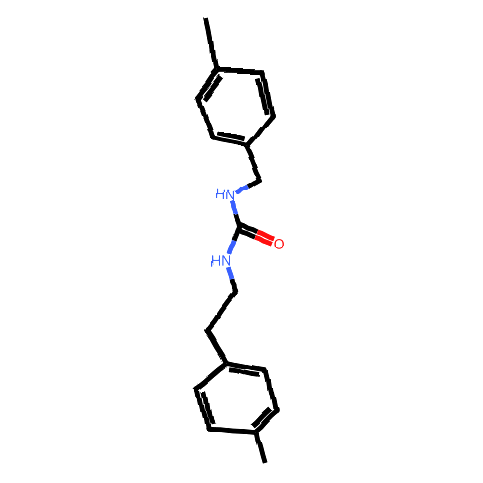 Cc1ccc(CCNC(=O)NCc2ccc(C)cc2)cc1